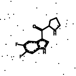 O=C(c1c[nH]c2cc(F)c(F)cc12)C1CCCN1